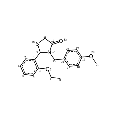 CCOc1ccccc1C1SCC(=O)N1Cc1ccc(OC)cc1